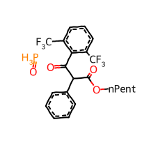 CCCCCOC(=O)C(C(=O)c1c(C(F)(F)F)cccc1C(F)(F)F)c1ccccc1.O=[PH3]